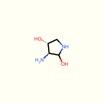 N[C@@H]1C(O)NC[C@H]1O